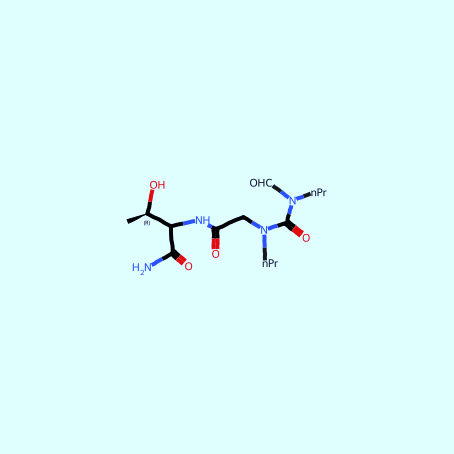 CCCN(C=O)C(=O)N(CCC)CC(=O)NC(C(N)=O)[C@@H](C)O